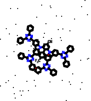 N#Cc1cc(-n2c3ccc(-c4nc(-c5ccccc5)nc(-c5ccccc5)n4)cc3c3cc(-c4nc(-c5ccccc5)nc(-c5ccccc5)n4)ccc32)c(-c2ccc(C(F)(F)F)cc2C(F)(F)F)c(-n2c3ccc(-c4nc(-c5ccccc5)nc(-c5ccccc5)n4)cc3c3cc(-c4nc(-c5ccccc5)nc(-c5ccccc5)n4)ccc32)c1